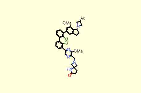 COc1cc(-c2cccc(-c3cccc(-c4cnc(CN5CC6(CCC(=O)N6)C5)c(OC)n4)c3Cl)c2Cl)cc2c1[C@H](N1CC(C(C)=O)C1)CC2